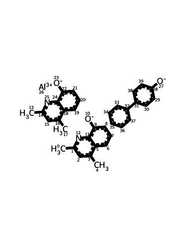 Cc1cc(C)c2cccc([O-])c2n1.Cc1cc(C)c2cccc([O-])c2n1.[Al+3].[O-]c1ccc(-c2ccccc2)cc1